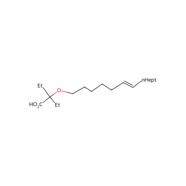 CCCCCCCC=CCCCCCOC(CC)(CC)C(=O)O